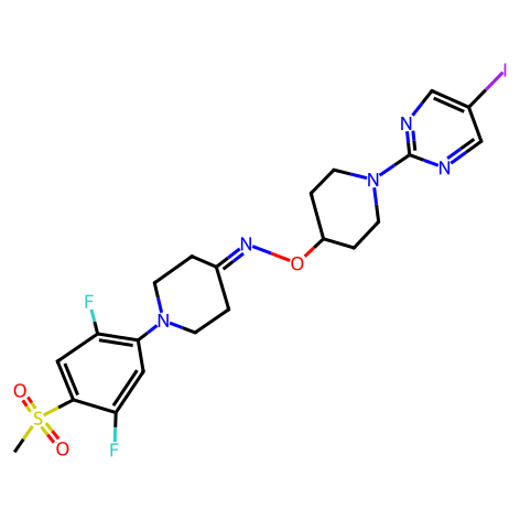 CS(=O)(=O)c1cc(F)c(N2CCC(=NOC3CCN(c4ncc(I)cn4)CC3)CC2)cc1F